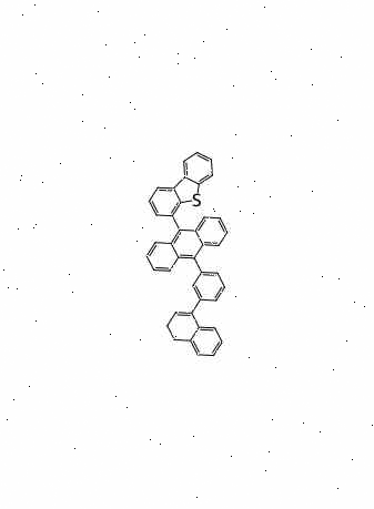 C1=C(c2cccc(-c3c4ccccc4c(-c4cccc5c4sc4ccccc45)c4ccccc34)c2)c2ccccc2CC1